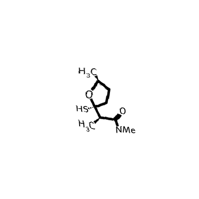 CNC(=O)[C@@H](C)[C@]1(S)CC[C@H](C)O1